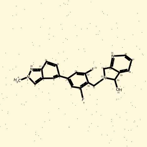 Cn1cc2cc(-c3cc(F)c(CN4Cc5ncccc5C4O)c(F)c3)ccc2n1